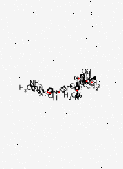 Cc1ncsc1-c1ccc(CNC(=O)[C@@H]2C[C@@H](O)CN2C(=O)[C@@H](NC(=O)C2(F)CC2)C(C)(C)C)c(OCCN2CCN(CCNc3cccc(Sc4cnc(N5CCC(C)(CN)CC5)cn4)c3Cl)CC2)c1